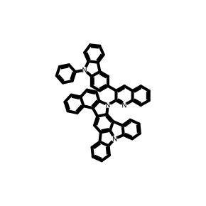 c1ccc(-n2c3ccccc3c3cc(-c4cc5ccccc5nc4-n4c5ccc6ccccc6c5c5cc6c7ccccc7n7c8ccccc8c(c54)c67)ccc32)cc1